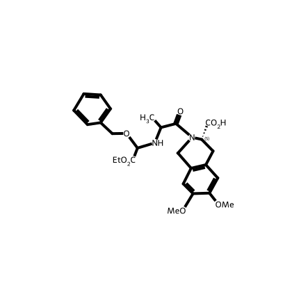 CCOC(=O)C(NC(C)C(=O)N1Cc2cc(OC)c(OC)cc2C[C@H]1C(=O)O)OCc1ccccc1